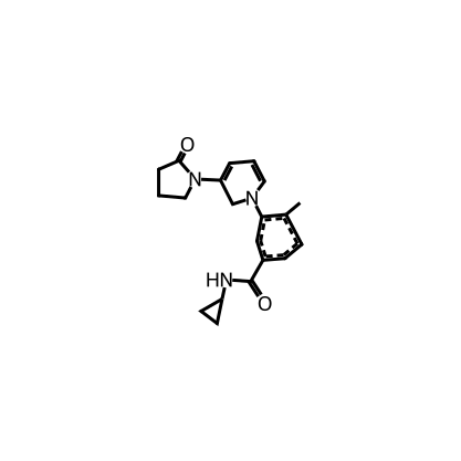 Cc1ccc(C(=O)NC2CC2)cc1N1C=CC=C(N2CCCC2=O)C1